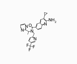 CC(c1ncccn1)N(Cc1ccc(C(F)(F)F)cn1)C(=O)c1ccc2nc(N)c(C3CC3)cc2c1